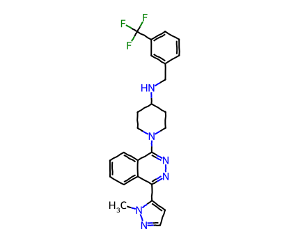 Cn1nccc1-c1nnc(N2CCC(NCc3cccc(C(F)(F)F)c3)CC2)c2ccccc12